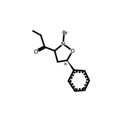 CCC(=O)C1C[C@H](c2ccccc2)ON1Br